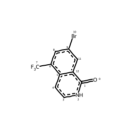 O=c1[nH]ccc2c(C(F)(F)F)cc(Br)cc12